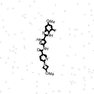 COc1cc(F)c2[nH]c(-c3cc(NC(=O)c4ccc(N5CC(OC)C5)nc4)n[nH]3)nc2c1